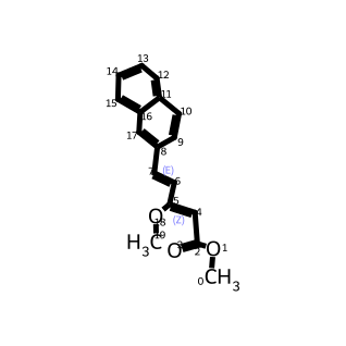 COC(=O)/C=C(/C=C/c1ccc2ccccc2c1)OC